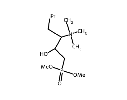 COP(=O)(CC(O)C(CC(C)C)[N+](C)(C)C)OC